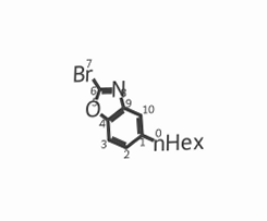 CCCCCCc1ccc2oc(Br)nc2c1